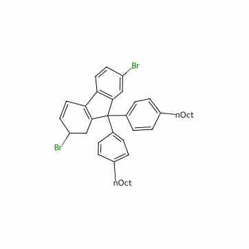 CCCCCCCCc1ccc(C2(c3ccc(CCCCCCCC)cc3)C3=C(C=CC(Br)C3)c3ccc(Br)cc32)cc1